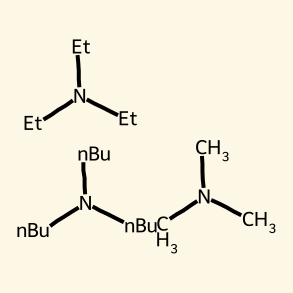 CCCCN(CCCC)CCCC.CCN(CC)CC.CN(C)C